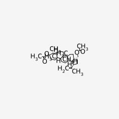 C=C(C)[C@@H]1CC[C@]2(COC(C)=O)CC[C@]3(C)[C@H](CC[C@@H]4[C@@]5(C)CC[C@H](OC(C)=O)[C@H](C)[C@@H]5CC[C@]43C)[C@@H]12